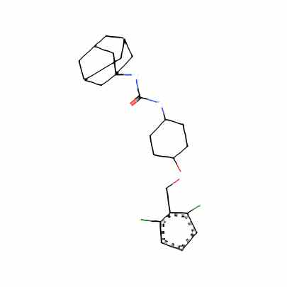 O=C(NC1CCC(OCc2c(Cl)cccc2Cl)CC1)NC12CC3CC(CC(C3)C1)C2